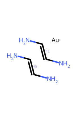 N/C=C/N.N/C=C/N.[Au]